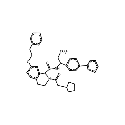 O=C(O)CC(NC(=O)C1c2cc(OCCc3ccccc3)ccc2CCN1C(=O)CC1CCCC1)c1ccc(-c2ccccc2)cc1